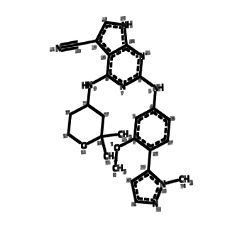 COc1cc(Nc2nc(NC3CCOC(C)(C)C3)c3c(C#N)c[nH]c3n2)ccc1-c1ccnn1C